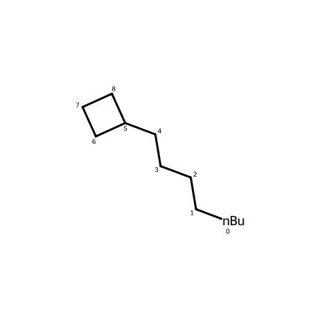 CCCCCCCCC1CCC1